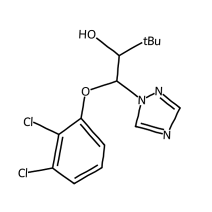 CC(C)(C)C(O)C(Oc1cccc(Cl)c1Cl)n1cncn1